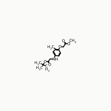 COC(=O)COc1ccc(NCC(=O)OC(C)(C)C)cc1C